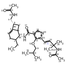 CCC1CC=C2C(C[C@H]2CNC(C)=O)[C@@H]1NC(=O)c1cnn(/C=C/C(C)(C)NC(C)=O)c1OCC(C)C